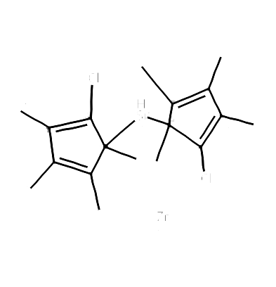 CC1=C(C)C(C)([SiH2]C2(C)C(C)=C(C)C(C)=C2Cl)C(Cl)=C1C.[Zr]